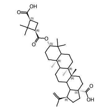 C=C(C)[C@@H]1CC[C@]2(C(=O)O)CC[C@]3(C)C(CCC4[C@@]5(C)CC[C@H](OC(=O)[C@@H]6C[C@H](C(=O)O)C6(C)C)C(C)(C)C5CC[C@]43C)C12